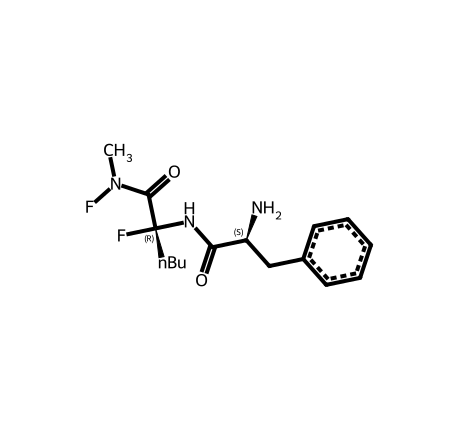 CCCC[C@](F)(NC(=O)[C@@H](N)Cc1ccccc1)C(=O)N(C)F